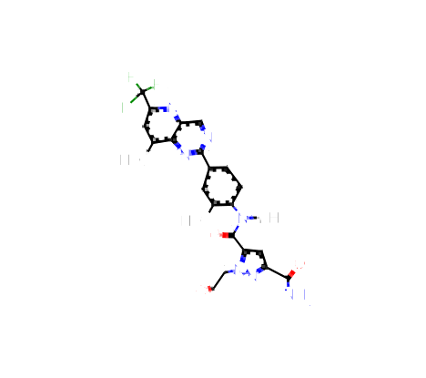 Cc1cc(-c2ncc3nc(C(F)(F)F)cc(C)c3n2)ccc1N(C)C(=O)c1cc(C(N)=O)nn1CC=O